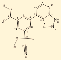 CCC(F)c1cc(-c2ccnc3[nH]ncc23)cc(C(C)(C#N)CC)c1